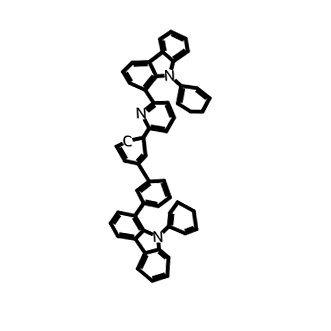 C1=CC(n2c3ccccc3c3cccc(-c4cccc(C5=CC(c6cccc(-c7cccc8c9ccccc9n(C9=CCCC=C9)c78)n6)CC=C5)c4)c32)=CCC1